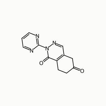 O=C1CCc2c(cnn(-c3ncccn3)c2=O)C1